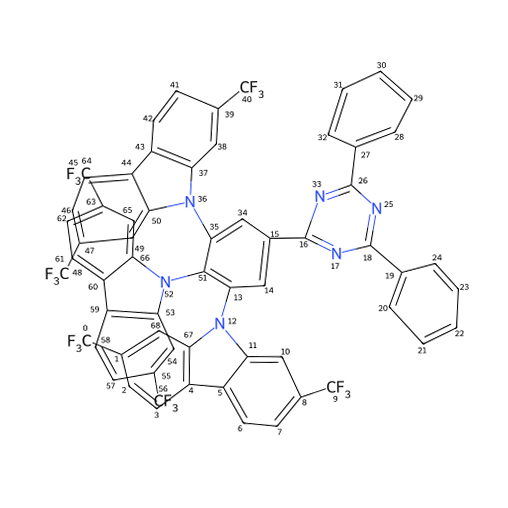 FC(F)(F)c1ccc2c3ccc(C(F)(F)F)cc3n(-c3cc(-c4nc(-c5ccccc5)nc(-c5ccccc5)n4)cc(-n4c5cc(C(F)(F)F)ccc5c5ccc(C(F)(F)F)cc54)c3-n3c4cc(C(F)(F)F)ccc4c4ccc(C(F)(F)F)cc43)c2c1